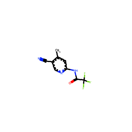 Cc1cc(NC(=O)C(F)(F)F)ncc1C#N